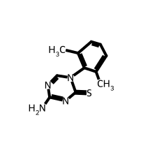 Cc1cccc(C)c1-n1cnc(N)nc1=S